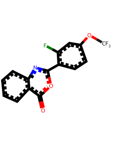 O=c1oc(-c2ccc(OC(F)(F)F)cc2F)nc2ccccc12